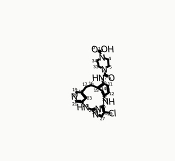 O=C(O)N1CCN(C(=O)Nc2ccc3cc2CCc2cncc(c2)Nc2ncc(Cl)c(n2)N3)CC1